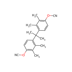 Cc1c(OC#N)ccc(C(C)(C)c2ccc(OC#N)c(C)c2C)c1C